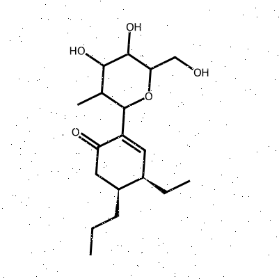 CCC[C@H]1CC(=O)C(C2OC(CO)C(O)C(O)C2C)=C[C@H]1CC